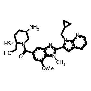 COc1cc(C(=O)N2C[C@H](N)CC[C@]2(S)CO)cc2nc(-c3cc4cccnc4n3CC3CC3)n(C)c12